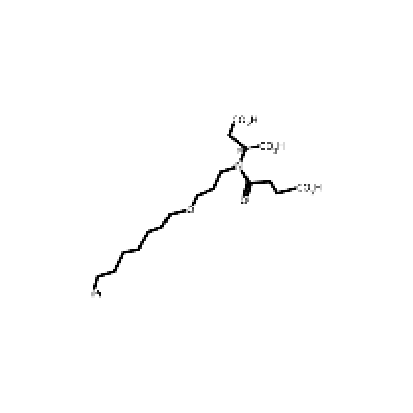 CC(C)CCCCCCCOCCCN(C(=O)CCC(=O)O)[C@@H](CC(=O)O)C(=O)O